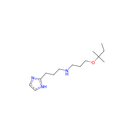 CCC(C)(C)OCCCNCCCc1ncc[nH]1